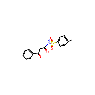 Cc1ccc(S(=O)(=O)NC(=O)CC(=O)c2ccccc2)cc1